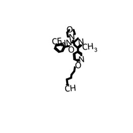 C#CCCCCCOc1ccc(C2=C(C)N=CC(NC(=O)c3cccc(C(F)(F)F)c3)(N3CCOCC3)C2)cn1